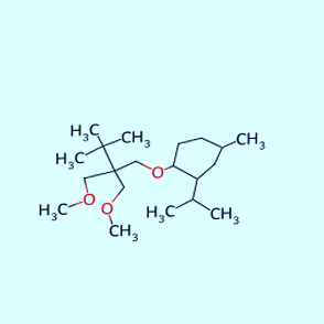 COCC(COC)(COC1CCC(C)CC1C(C)C)C(C)(C)C